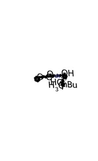 CCCCC(C)(F)C(O)C=C[C@H]1CCC(O)[C@@H]1CC/C=C/CCC(=O)OCCCCOc1ccccc1